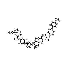 Cc1ccc(N2CCN(CC(=O)NC(Cc3ccc(-c4noc(-c5ccc(NC(=O)OC(C)(C)C)cc5)n4)c(F)c3)C(=O)O)CC2)cc1